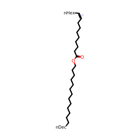 CCCCCC/C=C\CCCCCCCC(=O)OCCCCCCCCCCCCCCCCCCCCCCC